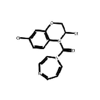 CCC1COc2cc(Cl)ccc2N1C(=O)N1C=CC=NC=C1